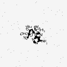 C[SiH](C)[C@]1(n2cnc3c(N)ncnc32)C[C@H](OC(C)(C)C)[C@@](C=O)(CO)O1